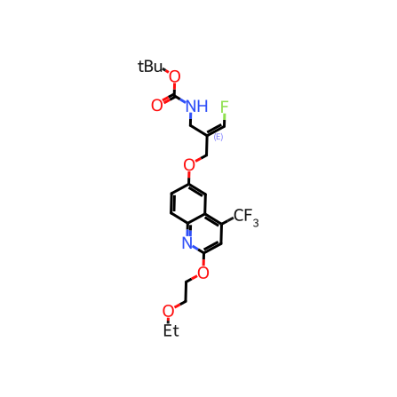 CCOCCOc1cc(C(F)(F)F)c2cc(OC/C(=C/F)CNC(=O)OC(C)(C)C)ccc2n1